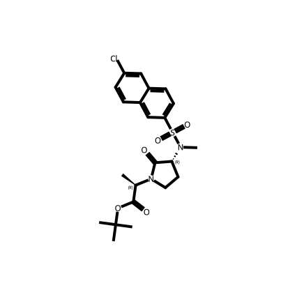 C[C@H](C(=O)OC(C)(C)C)N1CC[C@@H](N(C)S(=O)(=O)c2ccc3cc(Cl)ccc3c2)C1=O